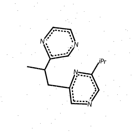 CC(C)c1cncc(CC(C)c2cnccn2)n1